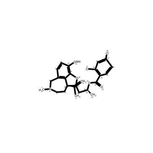 C=C(C)[C@@]12CCN(C)Cc3ccc(OC)c(c31)OC2C[C@H](C)OC(=O)c1ccc(Cl)cc1Cl